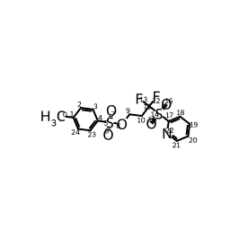 Cc1ccc(S(=O)(=O)OCCC(F)(F)S(=O)(=O)c2ccccn2)cc1